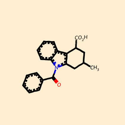 CC1Cc2c(c3ccccc3n2C(=O)c2ccccc2)C(C(=O)O)C1